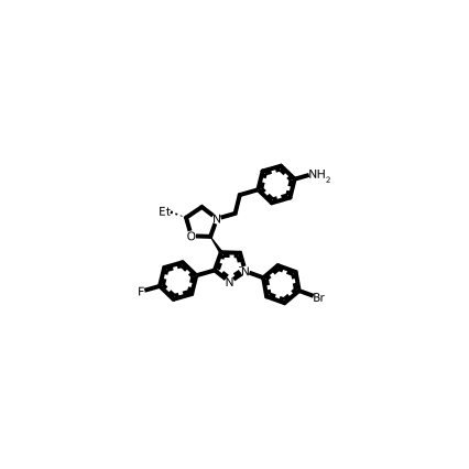 CC[C@@H]1CN(CCc2ccc(N)cc2)[C@@H](c2cn(-c3ccc(Br)cc3)nc2-c2ccc(F)cc2)O1